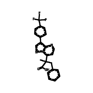 CC(Cc1ccccc1)(C(=O)O)c1ccnc2c(-c3ccc(C(F)(F)F)cc3)cnn12